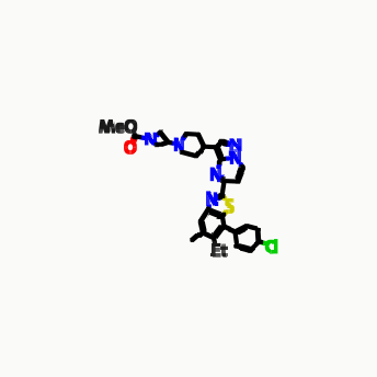 CCc1c(C)cc2nc(-c3ccn4ncc(C5CCN(C6CN(C(=O)OC)C6)CC5)c4n3)sc2c1-c1ccc(Cl)cc1